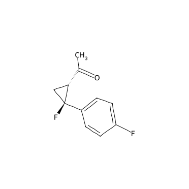 CC(=O)[C@H]1C[C@@]1(F)c1ccc(F)cc1